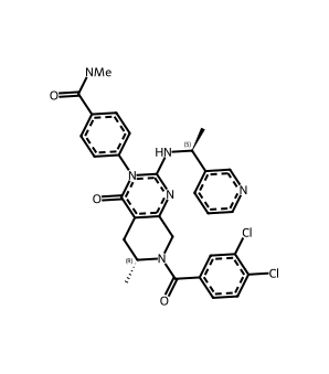 CNC(=O)c1ccc(-n2c(N[C@@H](C)c3cccnc3)nc3c(c2=O)C[C@@H](C)N(C(=O)c2ccc(Cl)c(Cl)c2)C3)cc1